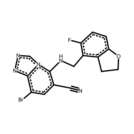 N#Cc1cc(Br)c2nncn2c1NCc1c(F)ccc2c1CCO2